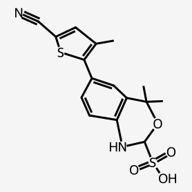 Cc1cc(C#N)sc1-c1ccc2c(c1)C(C)(C)OC(S(=O)(=O)O)N2